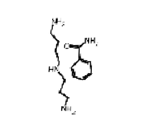 NC(=O)c1ccccc1.NCCCCNCCCN